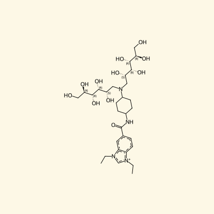 CCn1c[n+](CC)c2ccc(C(=O)NC3CCC(N(C[C@H](O)[C@@H](O)[C@H](O)[C@H](O)CO)C[C@H](O)[C@@H](O)[C@H](O)[C@H](O)CO)CC3)cc21